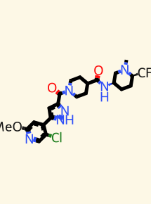 COc1cc(-c2cc(C(=O)N3CCC(C(=O)N[C@@H]4CC[C@H](C(F)(F)F)N(C)C4)CC3)n[nH]2)c(Cl)cn1